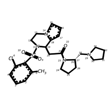 Cc1cccc(Cl)c1S(=O)(=O)N1CCn2cccc2C1CC(=O)N1CCC[C@H]1CN1CCCC1